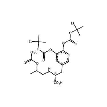 CCC(C)(C)OC(=O)Oc1ccc(C[C@H](NCC(C)OC(=O)OCC(C)C)C(=O)O)cc1OC(=O)OC(C)(C)CC